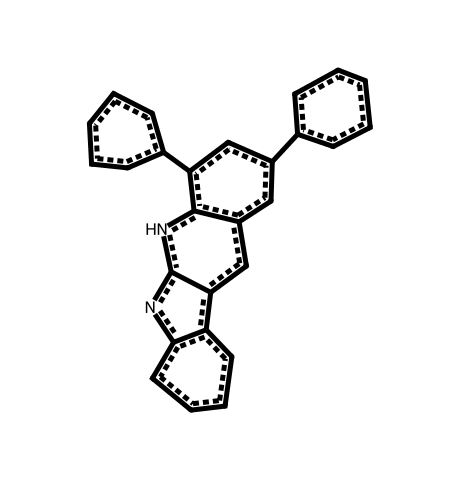 c1ccc(-c2cc(-c3ccccc3)c3[nH]c4nc5ccccc5c-4cc3c2)cc1